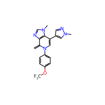 C=C1c2ncn(C)c2C(c2cnn(C)c2)=CN1c1ccc(OC(F)(F)F)cc1